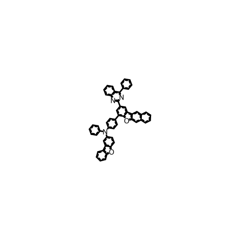 c1ccc(-c2nc(-c3cc(-c4ccc(N(c5ccccc5)c5ccc6oc7ccccc7c6c5)cc4)c4oc5cc6ccccc6cc5c4c3)nc3ccccc23)cc1